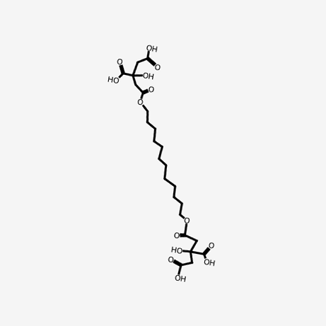 O=C(O)CC(O)(CC(=O)OCCCCCCCCCCCCOC(=O)CC(O)(CC(=O)O)C(=O)O)C(=O)O